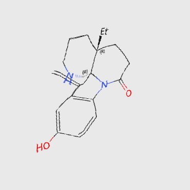 C=C1c2cc(O)ccc2N2C(=O)CC[C@@]3(CC)CCCN[C@@]123